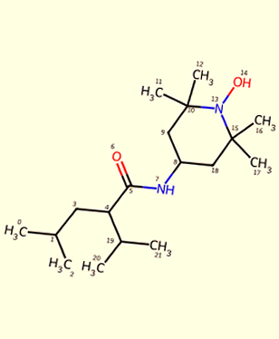 CC(C)CC(C(=O)NC1CC(C)(C)N(O)C(C)(C)C1)C(C)C